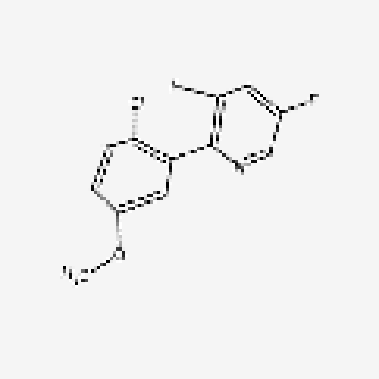 COc1c[c]c(Cl)c(-c2ncc(F)cc2F)c1